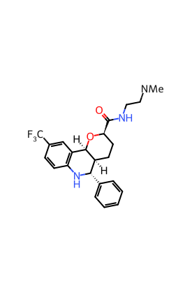 CNCCNC(=O)[C@H]1CC[C@@H]2[C@H](O1)c1cc(C(F)(F)F)ccc1N[C@H]2c1ccccc1